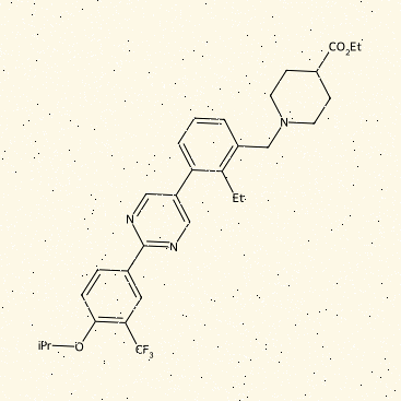 CCOC(=O)C1CCN(Cc2cccc(-c3cnc(-c4ccc(OC(C)C)c(C(F)(F)F)c4)nc3)c2CC)CC1